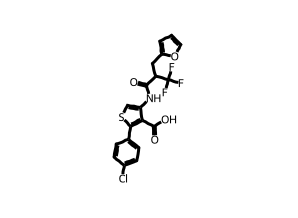 O=C(O)c1c(NC(=O)C(Cc2ccco2)C(F)(F)F)csc1-c1ccc(Cl)cc1